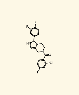 O=C(c1ccc(F)cc1Cl)N1CCN2C(=NNC2c2ccc(F)c(F)c2)C1